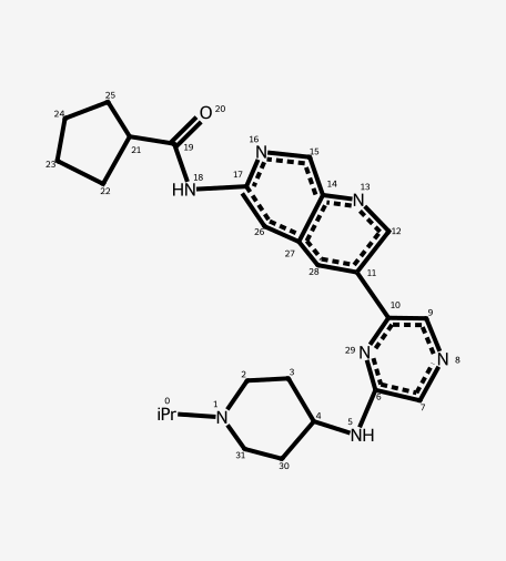 CC(C)N1CCC(Nc2cncc(-c3cnc4cnc(NC(=O)C5CCCC5)cc4c3)n2)CC1